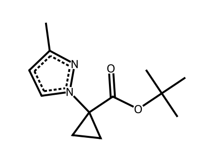 Cc1ccn(C2(C(=O)OC(C)(C)C)CC2)n1